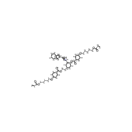 C=CC(=O)OCCCCCOc1ccc(C(=O)OCCc2ccc(OC(=O)c3ccc(OCCCCCOC(=O)C=C)cc3)c(/C=N/Nc3nc4ccccc4s3)c2)cc1